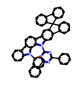 c1ccc(-c2nc(-c3ccccc3)nc(-n3c4cc5c(cc4c4ccc6c7ccccc7n(-c7ccccc7)c6c43)C3(c4ccccc4-c4ccccc43)c3ccccc3-5)n2)cc1